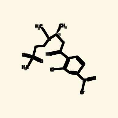 C[C@H](CC(=N)c1ccc([N+](=O)[O-])cc1Cl)N(C)CCS(C)(=O)=O